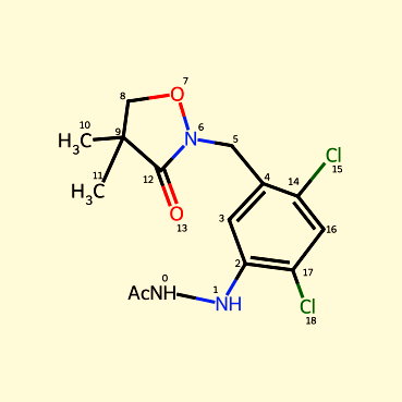 CC(=O)NNc1cc(CN2OCC(C)(C)C2=O)c(Cl)cc1Cl